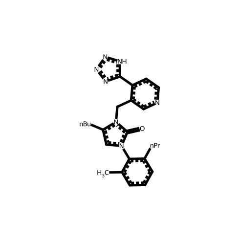 CCCCc1cn(-c2c(C)cccc2CCC)c(=O)n1Cc1cnccc1-c1nnn[nH]1